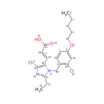 CCCCCOc1ccc(Cn2c(CC)nc(Cl)c2/C=C/C(=O)O)c(Cl)c1